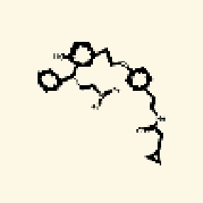 CC(C)N(CC[C@H](c1ccccc1)c1cc(CCOc2ccc(CCNC(=O)CC3CC3)cc2)ccc1O)C(C)C